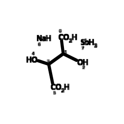 O=C(O)C(O)C(O)C(=O)O.[NaH].[SbH3]